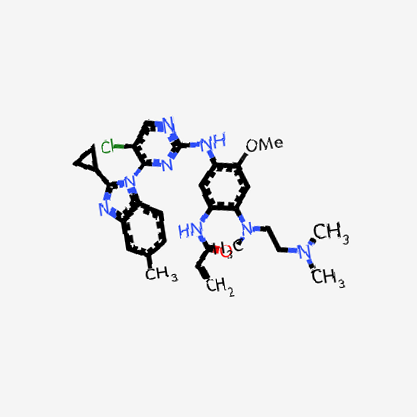 C=CC(=O)Nc1cc(Nc2ncc(Cl)c(-n3c(C4CC4)nc4cc(C)ccc43)n2)c(OC)cc1N(C)CCN(C)C